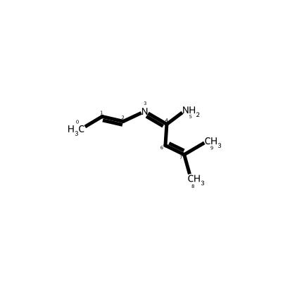 C/C=C/N=C(/N)C=C(C)C